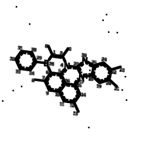 CC1=C(C)n2c3c(c(C)cc4cc(C)cc(c43)n3c4cc(C)c(C)cc4nc23)B1c1ccccc1